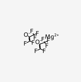 [Mg+2].[O-]C(=C(F)F)C(F)(F)F.[O-]C(=C(F)F)C(F)(F)F